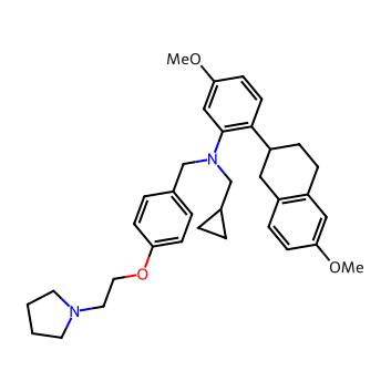 COc1ccc2c(c1)CCC(c1ccc(OC)cc1N(Cc1ccc(OCCN3CCCC3)cc1)CC1CC1)C2